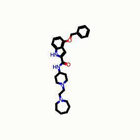 O=C(NC1CCN(CCN2CCCCCC2)CC1)c1cc2c(OCc3ccccc3)cccc2[nH]1